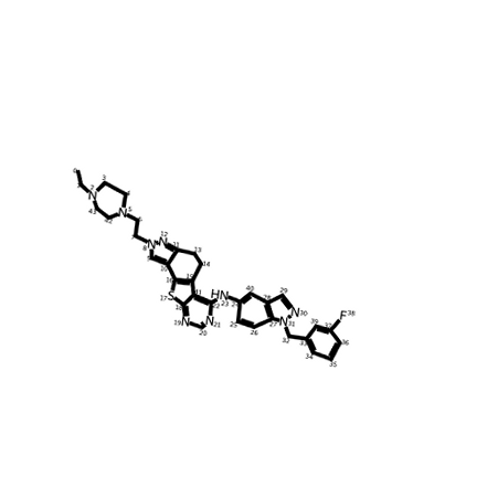 CCN1CCN(CCn2cc3c(n2)CCc2c-3sc3ncnc(Nc4ccc5c(cnn5Cc5cccc(F)c5)c4)c23)CC1